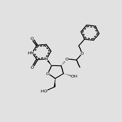 CC(OCc1ccccc1)O[C@@H]1[C@H](O)[C@@H](CO)O[C@H]1n1ccc(=O)[nH]c1=O